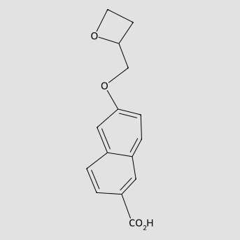 O=C(O)c1ccc2cc(OCC3CCO3)ccc2c1